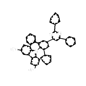 CC(C)(C)c1ccc2c(c1)c1cc(C(C)(C)C)cc(C(C)(C)C)c1n2-c1c(-c2ccccc2)cc(-c2cc(-c3ccccc3)nc(-c3ccccc3)n2)cc1-c1ccccc1